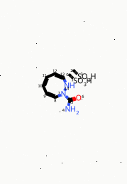 CS(=O)(=O)O.CS(=O)(=O)O.NC(=O)n1cccccc[nH]1